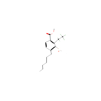 CCCCCCc1ccc(C(=O)OC)c(C(F)(F)C(F)(F)F)c1S(C)(=O)=O